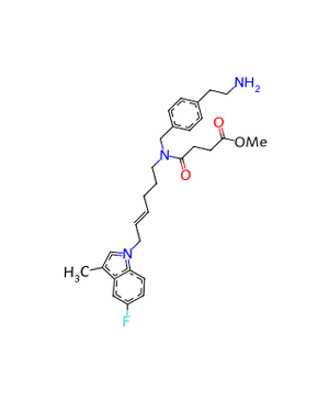 COC(=O)CCC(=O)N(CCC/C=C/Cn1cc(C)c2cc(F)ccc21)Cc1ccc(CCN)cc1